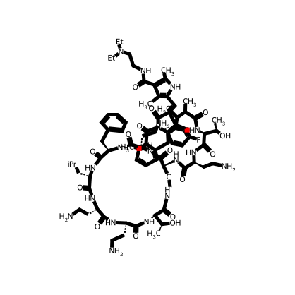 CCN(CC)CCNC(=O)c1c(C)[nH]c(/C=C2\C(=O)N(C(=O)c3c(C)cccc3COC(=O)C(C)C(C)C(=O)N[C@H](C(=O)N[C@@H](CCN)C(=O)N[C@H]3CCNC(=O)[C@H]([C@@H](C)O)NC(=O)[C@H](CCN)NC(=O)[C@H](CCN)NC(=O)[C@H](CC(C)C)NC(=O)[C@@H](Cc4ccccc4)NC(=O)[C@H](CCN)NC3=O)[C@@H](C)O)c3ccc(F)cc32)c1C